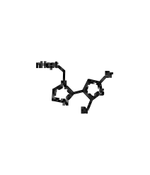 CCCCCCCCn1ccnc1-c1cc(Br)sc1Br